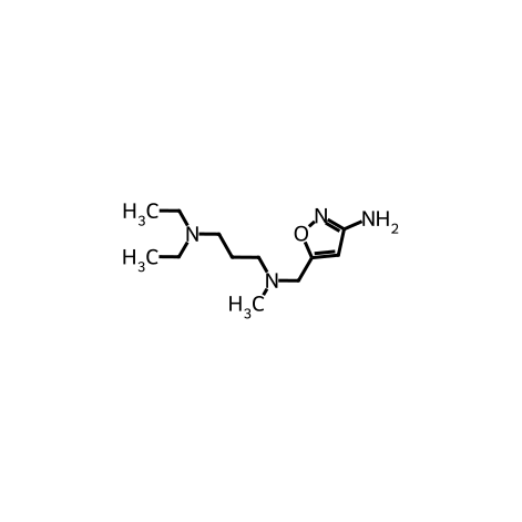 CCN(CC)CCCN(C)Cc1cc(N)no1